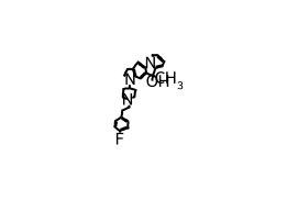 CC(O)(c1ccc2c(c1)N(C1CCN(CCc3ccc(F)cc3)CC1)CC2)c1ccccn1